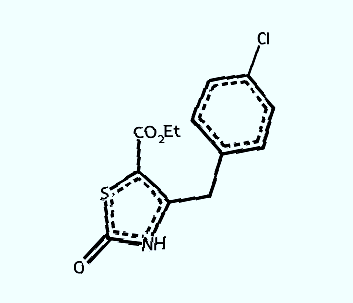 CCOC(=O)c1sc(=O)[nH]c1Cc1ccc(Cl)cc1